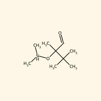 C[SiH](C)OC(C)([C]=O)C(C)(C)C